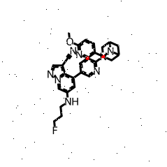 COc1ccc(CN2C3CC2CN(c2ccc(-c4cc(NCCCF)cn5ncc(C#N)c45)cn2)C3)cn1